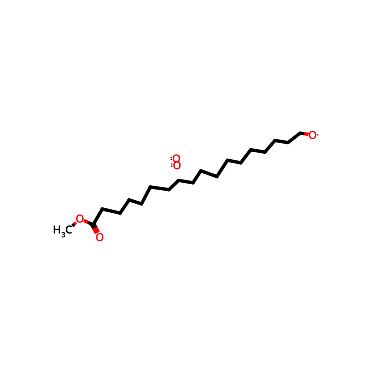 COC(=O)CCCCCCCCCCCCCCCCC[O].[O].[O]